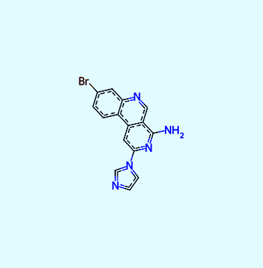 Nc1nc(-n2ccnc2)cc2c1cnc1cc(Br)ccc12